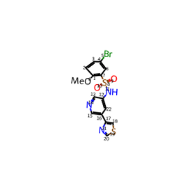 COc1ccc(Br)cc1S(=O)(=O)Nc1cncc(-c2cscn2)c1